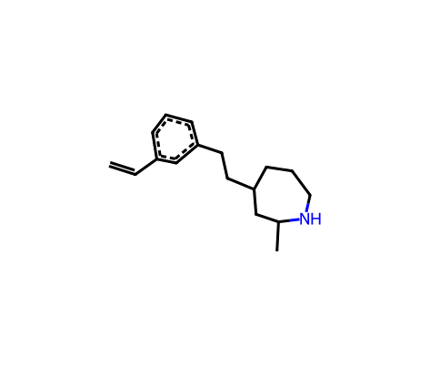 C=Cc1cccc(CCC2CCCNC(C)C2)c1